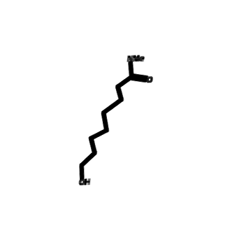 CNC(=O)CCCCCCCO